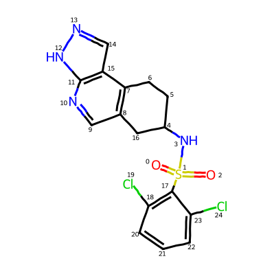 O=S(=O)(NC1CCc2c(cnc3[nH]ncc23)C1)c1c(Cl)cccc1Cl